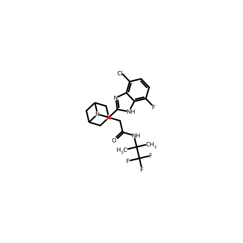 CC(C)(NC(=O)CN1CC2CC(C1)N2Cc1nc2c(Cl)ccc(F)c2[nH]1)C(F)(F)F